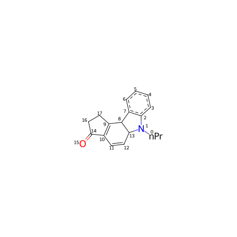 CCCN1c2ccccc2C2C3=C(C=CC21)C(=O)CC3